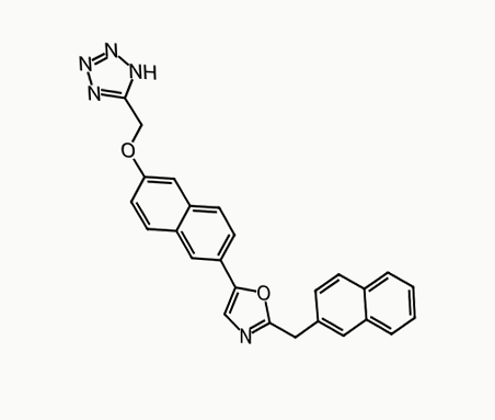 c1ccc2cc(Cc3ncc(-c4ccc5cc(OCc6nnn[nH]6)ccc5c4)o3)ccc2c1